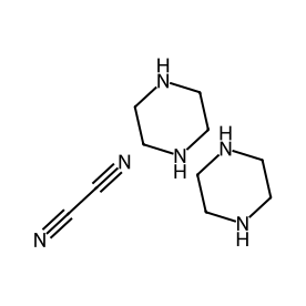 C1CNCCN1.C1CNCCN1.N#CC#N